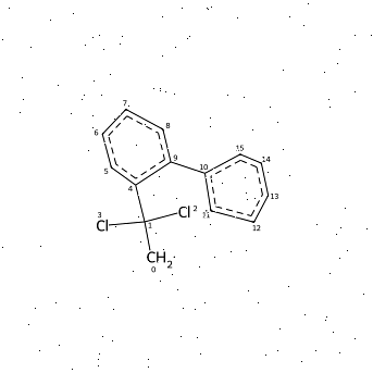 [CH2]C(Cl)(Cl)c1ccccc1-c1[c]cccc1